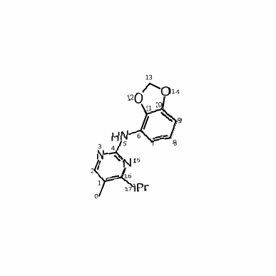 Cc1cnc(Nc2cccc3c2OCO3)nc1C(C)C